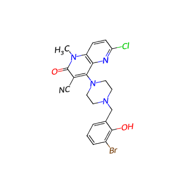 Cn1c(=O)c(C#N)c(N2CCN(Cc3cccc(Br)c3O)CC2)c2nc(Cl)ccc21